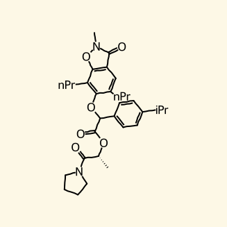 CCCc1cc2c(=O)n(C)oc2c(CCC)c1OC(C(=O)O[C@H](C)C(=O)N1CCCC1)c1ccc(C(C)C)cc1